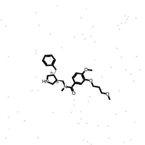 COCCCOc1cc(C(=O)N(C)C[C@H]2CNC[C@@H]2Cc2ccccc2)ccc1OC